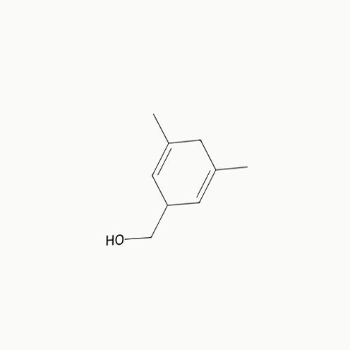 CC1=CC(CO)C=C(C)C1